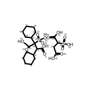 O=C(O)C(C1CCCCC1)C(C(=O)O)(C1CCCCC1)S(=O)(=O)O.O=C(O)CC(C(=O)O)S(=O)(=O)O